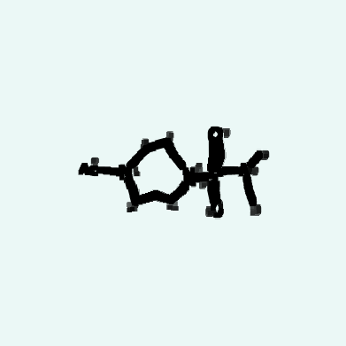 CC(=O)N1CCN(S(=O)(=O)N(C)C)CC1